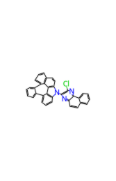 Clc1nc2c(ccc3ccccc32)nc1-n1c2cccc3c2c2c4c(cccc4ccc21)-c1ccccc1-3